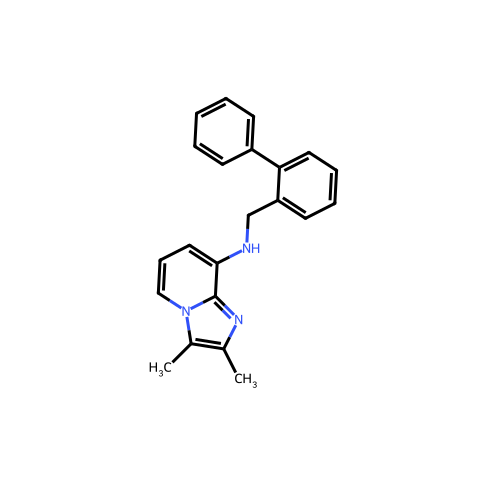 Cc1nc2c(NCc3ccccc3-c3ccccc3)cccn2c1C